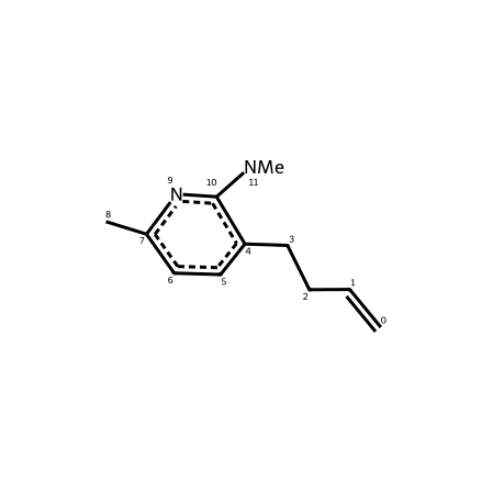 C=CCCc1ccc(C)nc1NC